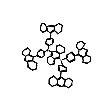 c1cc(N(c2ccc(-c3c4c(cc5c3CCCC5)CCCC4)cc2)c2c3c(c(N(c4ccc(-c5c6c(cc7c5CCCC7)CCCC6)cc4)c4ccc(-c5c6c(cc7c5CCCC7)CCCC6)cc4)c4c2CCCC4)CCCC3)ccc1-c1c2c(cc3c1CCCC3)CCCC2